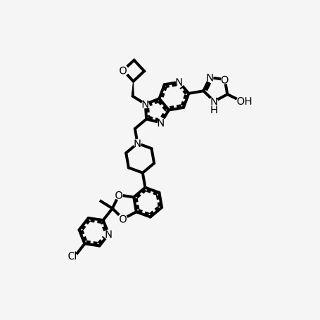 CC1(c2ccc(Cl)cn2)Oc2cccc(C3CCN(Cc4nc5cc(C6=NOC(O)N6)ncc5n4C[C@@H]4CCO4)CC3)c2O1